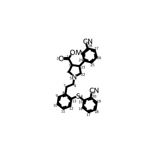 COC(=O)C1CN(CCc2ccccc2Sc2ccccc2C#N)CC1c1cccc(C#N)c1